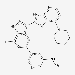 CC(C)Nc1cncc(-c2cc(F)c3[nH]nc(-c4nc5c(N6CCCCC6)ccnc5[nH]4)c3c2)c1